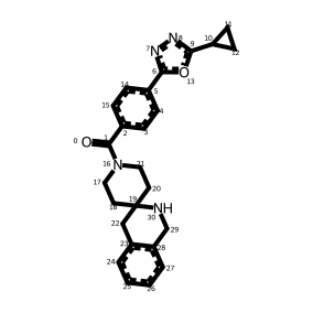 O=C(c1ccc(-c2nnc(C3CC3)o2)cc1)N1CCC2(CC1)Cc1ccccc1CN2